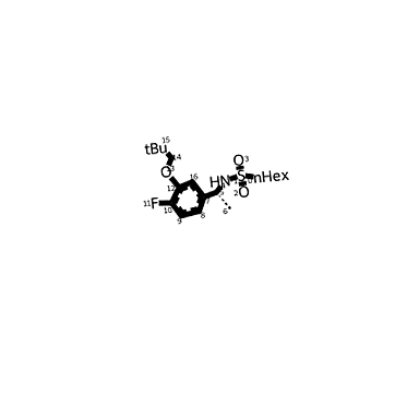 CCCCCCS(=O)(=O)N[C@H](C)c1ccc(F)c(OCC(C)(C)C)c1